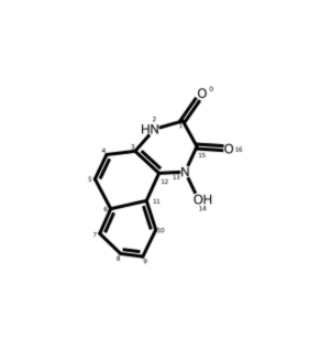 O=c1[nH]c2ccc3ccccc3c2n(O)c1=O